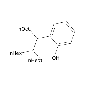 CCCCCCCCC(c1ccccc1O)C(CCCCCC)CCCCCCC